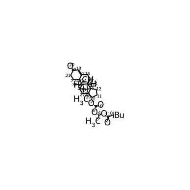 CCC(C)C(=O)OC(C)OC(=O)O[C@H]1CC[C@H]2[C@@H]3CCC4=CC(=O)CC[C@]4(C)[C@H]3CC[C@]12C